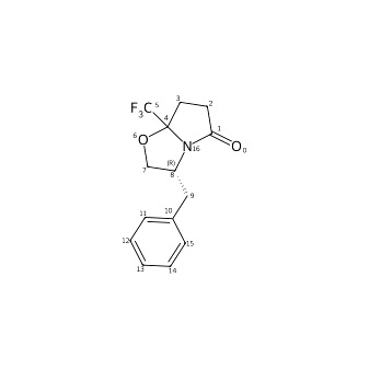 O=C1CCC2(C(F)(F)F)OC[C@@H](Cc3ccccc3)N12